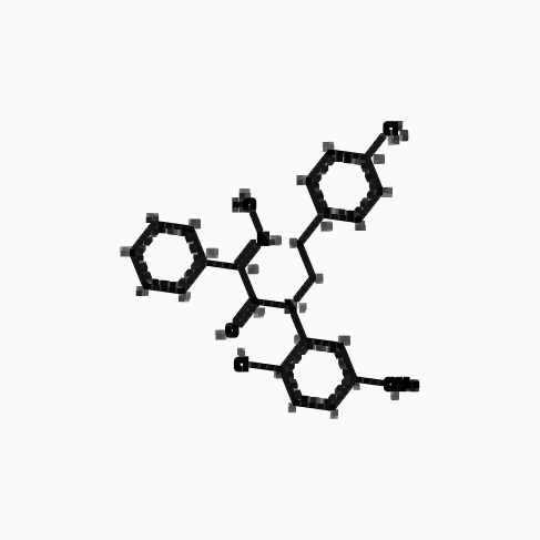 COc1ccc(Cl)c(N(CCc2ccc(C(F)(F)F)cc2)C(=O)C(=NO)c2ccccc2)c1